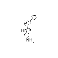 CC12CC3CC(c4ccccc4)(CC(C1)C3C(=S)NC1CCC(N)CC1)C2